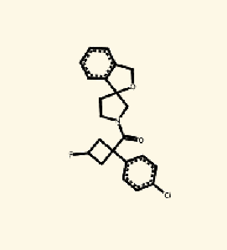 O=C(N1CCC2(C1)OCc1ccccc12)C1(c2ccc(Cl)cc2)CC(F)C1